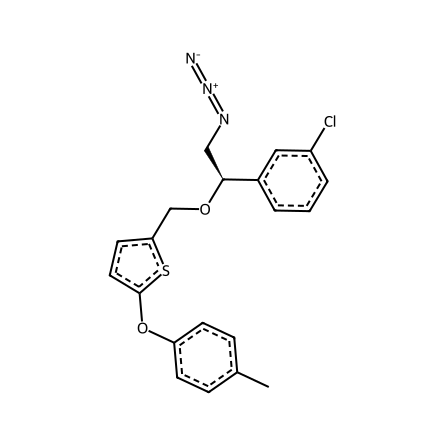 Cc1ccc(Oc2ccc(CO[C@@H](CN=[N+]=[N-])c3cccc(Cl)c3)s2)cc1